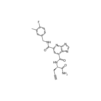 C#CC[C@@H](NC(=O)c1cc(C(=O)NCc2ccc(F)c(C)c2)nc2ncnn12)C(N)=O